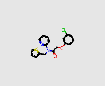 O=C(COc1cccc(Cl)c1)N(Cc1cccs1)c1ccccn1